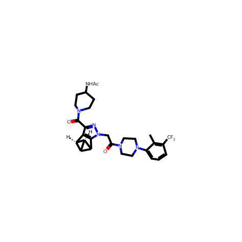 CC(=O)NC1CCN(C(=O)c2nn(CC(=O)N3CCN(c4cccc(C(F)(F)F)c4C)CC3)c3c2[C@@H]2C4C3[C@@H]42)CC1